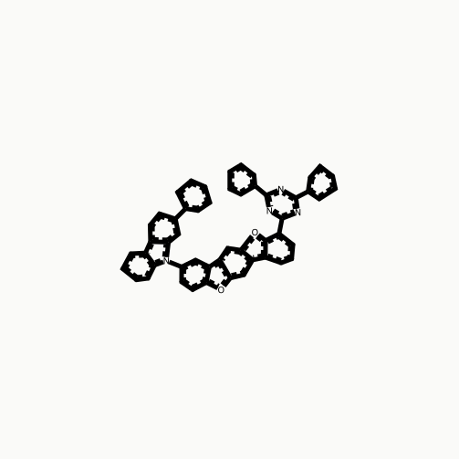 c1ccc(-c2ccc3c4ccccc4n(-c4ccc5oc6cc7c(cc6c5c4)oc4c(-c5nc(-c6ccccc6)nc(-c6ccccc6)n5)cccc47)c3c2)cc1